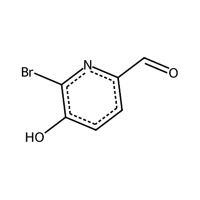 O=Cc1ccc(O)c(Br)n1